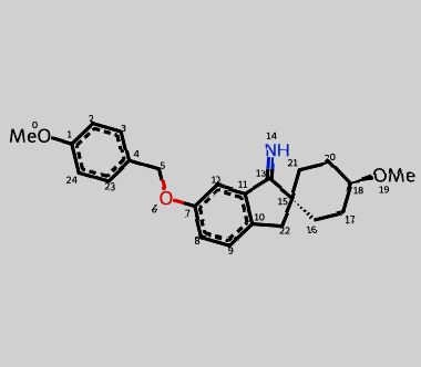 COc1ccc(COc2ccc3c(c2)C(=N)[C@]2(CC[C@H](OC)CC2)C3)cc1